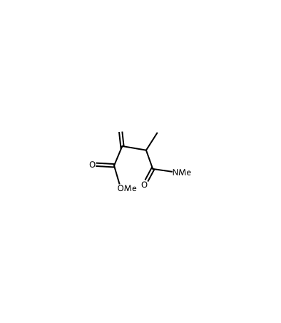 C=C(C(=O)OC)C(C)C(=O)NC